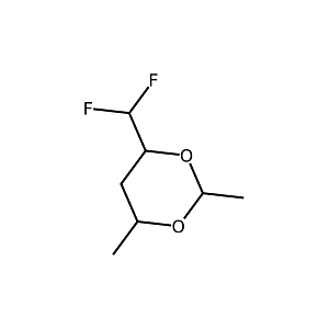 CC1CC(C(F)F)OC(C)O1